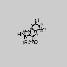 CC(C)(C)C(=O)C(=Cc1ccc(Cl)cc1Cl)c1nc[nH]n1